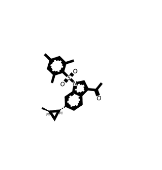 CC(=O)c1cn(S(=O)(=O)c2c(C)cc(C)cc2C)c2cc([C@@H]3C[C@H]3C)ccc12